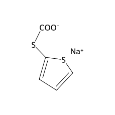 O=C([O-])Sc1cccs1.[Na+]